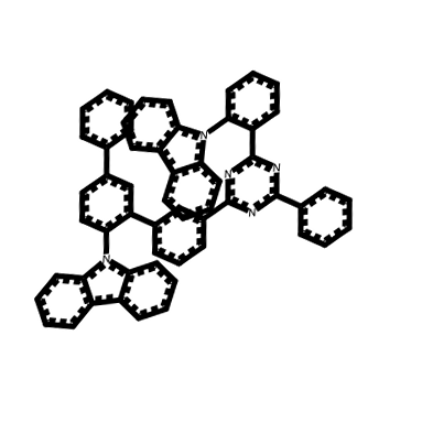 c1ccc(-c2ccc(-n3c4ccccc4c4ccccc43)c(-c3cccc(-c4nc(-c5ccccc5)nc(-c5ccccc5-n5c6ccccc6c6ccccc65)n4)c3)c2)cc1